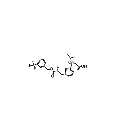 CC(C)O[C@@H](CC(=O)O)c1cccc(CNC(=O)OCc2cccc(C(F)(F)F)c2)c1